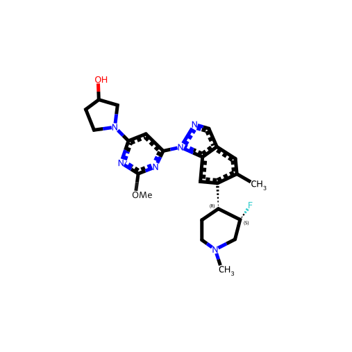 COc1nc(N2CCC(O)C2)cc(-n2ncc3cc(C)c([C@H]4CCN(C)C[C@H]4F)cc32)n1